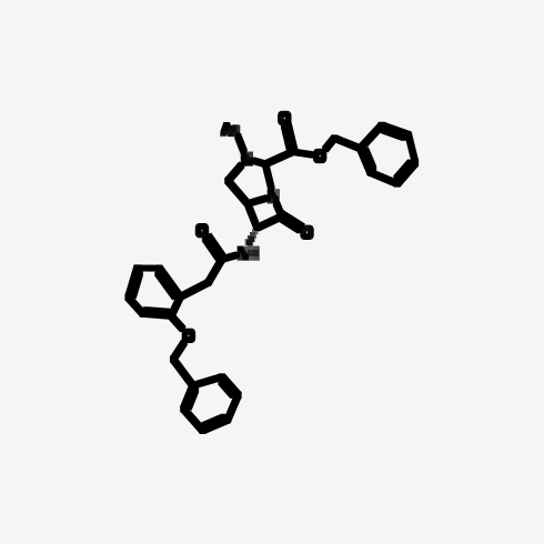 CC(=O)N1CC2[C@@H](NC(=O)Cc3ccccc3OCc3ccccc3)C(=O)N2C1C(=O)OCc1ccccc1